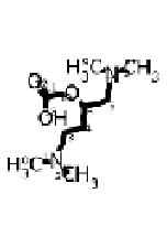 CN(C)CCC(CN(C)C)OC(=O)O